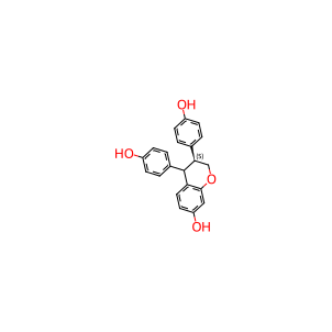 Oc1ccc(C2c3ccc(O)cc3OC[C@@H]2c2ccc(O)cc2)cc1